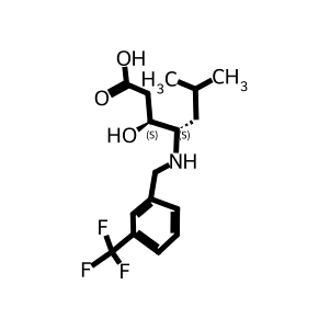 CC(C)C[C@H](NCc1cccc(C(F)(F)F)c1)[C@@H](O)CC(=O)O